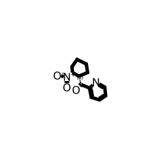 O=C(c1ccccn1)[C@H]1CCCCC1[N+](=O)[O-]